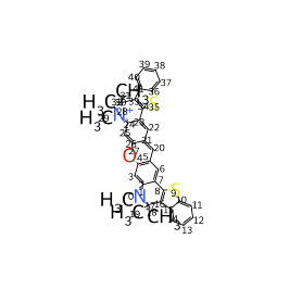 CN1c2cc3c(cc2-c2sc4ccccc4c2C1(C)C)C=c1cc2c(cc1O3)=[N+](C)C(C)(C)c1c-2sc2ccccc12